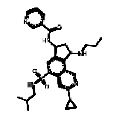 CCCNC1CC(NC(=O)c2cccnc2)c2cc(S(=O)(=O)NCC(C)C)c3cc(C4CC4)ncc3c21